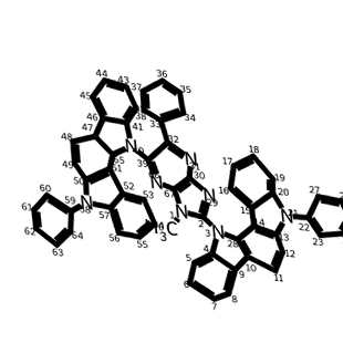 Cn1c(-n2c3ccccc3c3ccc4c(c5ccccc5n4-c4ccccc4)c32)nc2nc(-c3ccccc3)c(N3c4ccccc4C4C=Cc5c(c6ccccc6n5-c5ccccc5)C43)nc21